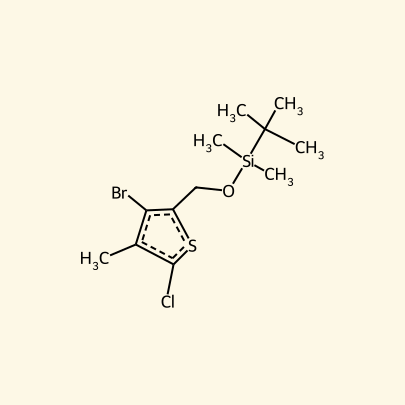 Cc1c(Cl)sc(CO[Si](C)(C)C(C)(C)C)c1Br